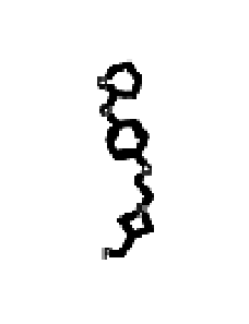 FCC1CN(CCOc2ccc(OC3CCCCO3)cc2)C1